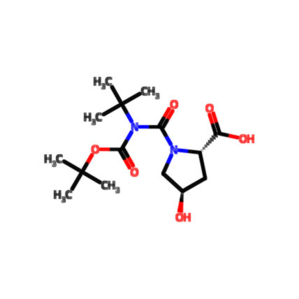 CC(C)(C)OC(=O)N(C(=O)N1C[C@H](O)C[C@H]1C(=O)O)C(C)(C)C